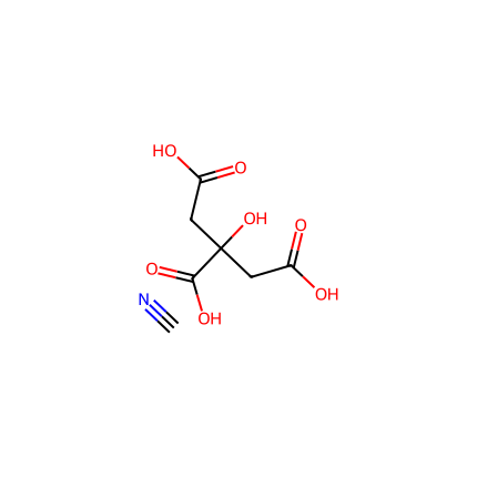 C#N.O=C(O)CC(O)(CC(=O)O)C(=O)O